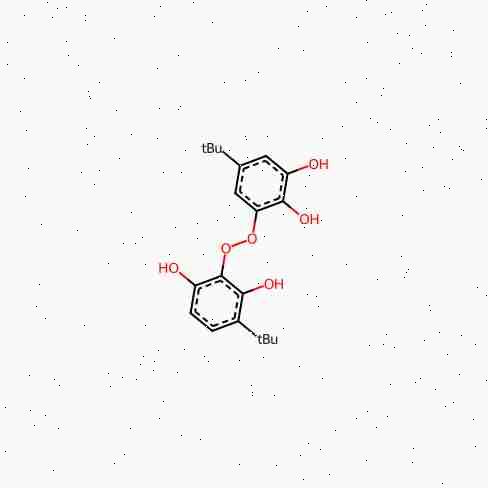 CC(C)(C)c1cc(O)c(O)c(OOc2c(O)ccc(C(C)(C)C)c2O)c1